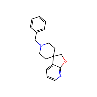 c1ccc(CN2CCC3(CC2)COc2ncccc23)cc1